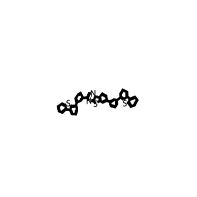 c1cc(-c2ccc3c(c2)sc2nc(-c4cccc(-c5cccc6c5sc5ccccc56)c4)cnc23)cc(-c2cccc3c2sc2ccccc23)c1